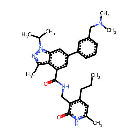 CCCc1cc(C)[nH]c(=O)c1CNC(=O)c1cc(-c2cccc(CN(C)C)c2)cc2c1c(C)nn2C(C)C